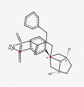 CS(=O)(=O)CC(=O)N(CCN1[C@@H]2CC[C@H]1C[C@@H](c1cccc(C(N)=O)c1)C2)Cc1ccccc1